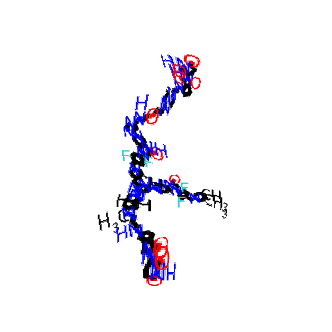 CN(CCCNc1ccc2c(c1)CN(C1CCC(=O)NC1=O)C2=O)[C@@H]1C[C@@H]2CN(c3cc(N4CCC5(CC4)CN(c4cc(F)c(CN6CCC(C)(C)CC6)cc4F)CC(=O)N5)nc(CC4(C)CCN(Cc5cc(F)c(N6CC(=O)NC7(CCN(c8cc(NCCOCCN9CCN(CCNc%10cccc%11c%10C(=O)N(C%10CCC(=O)NC%10=O)C%11=O)CC9)ncn8)CC7)C6)cc5F)CC4)n3)C[C@@H]2C1